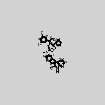 O=C(CN1C(=O)C2(CCCC2)NCC1c1cc(F)cc(F)c1)Nc1cnc2c(c1)CC1(C2)C(=O)Nc2ncccc21